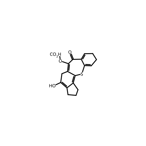 O=C(O)OC1=C2CC(O)=C3CCCC3=C2SC2=CCCC=C2C1=O